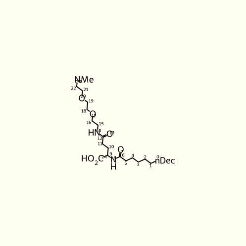 CCCCCCCCCCCCCCCC(=O)NC(CCC(=O)NCCOCCOCCNC)C(=O)O